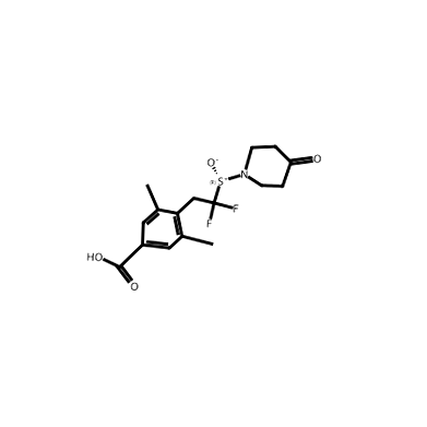 Cc1cc(C(=O)O)cc(C)c1CC(F)(F)[S@+]([O-])N1CCC(=O)CC1